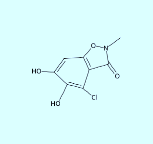 Cn1oc2cc(O)c(O)c(Cl)c2c1=O